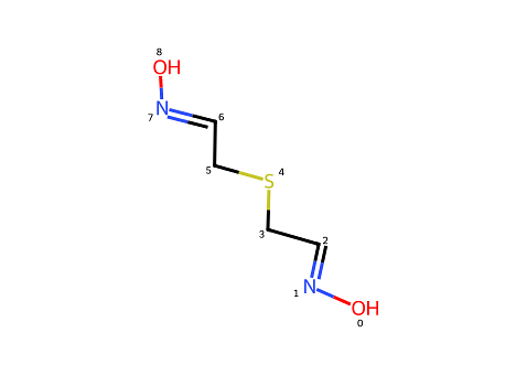 O/N=C/CSC/C=N/O